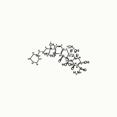 C[C@H]1c2ccc(C(C)(C)CCCN3CCCCC3)c(O)c2C(=O)C2=C(O)[C@]3(O)C(=O)C(C(N)=O)=C(O)C[C@@H]3[C@@H](O)[C@@H]21